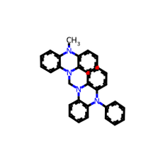 CN1c2ccccc2N(CN2c3ccccc3N(c3ccccc3)c3ccccc32)c2ccccc21